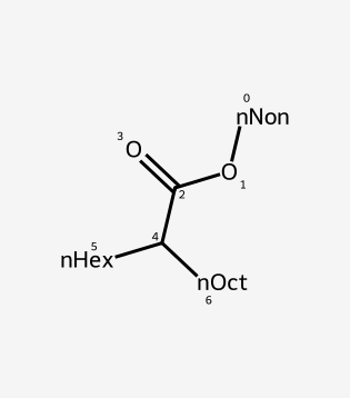 CCCCCCCCCOC(=O)C(CCCCCC)CCCCCCCC